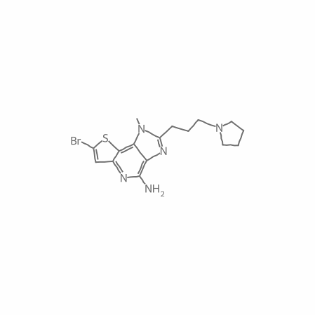 Cn1c(CCCN2CCCC2)nc2c(N)nc3cc(Br)sc3c21